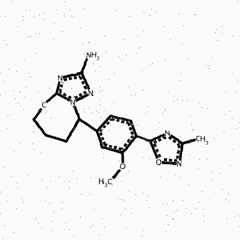 COc1cc(C2CCCCc3nc(N)nn32)ccc1-c1nc(C)no1